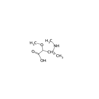 CCNC.COC(C)C(=O)O